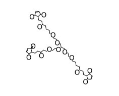 O=C(CCCCOCCOCC(COCCOCCCCC(=O)CCC1C(=O)C=CC1=O)OCCOCCC(=O)CCC1C(=O)C=CC1=O)CCC1C(=O)C=CC1=O